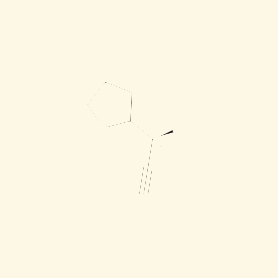 C#C[C@H](O)C1CCCO1